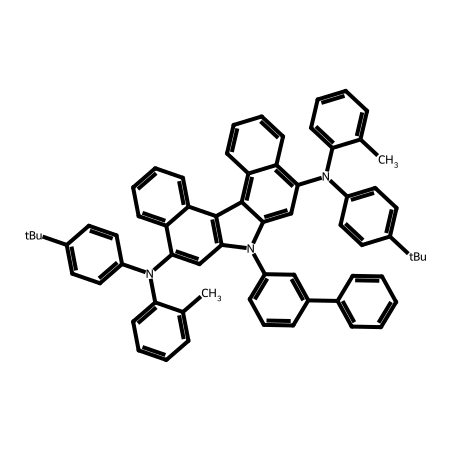 Cc1ccccc1N(c1ccc(C(C)(C)C)cc1)c1cc2c(c3ccccc13)c1c3ccccc3c(N(c3ccc(C(C)(C)C)cc3)c3ccccc3C)cc1n2-c1cccc(-c2ccccc2)c1